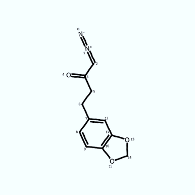 [N-]=[N+]=CC(=O)CCc1ccc2c(c1)OCO2